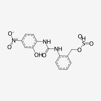 O=C(Nc1ccc([N+](=O)[O-])cc1O)Nc1ccccc1CO[SH](=O)=O